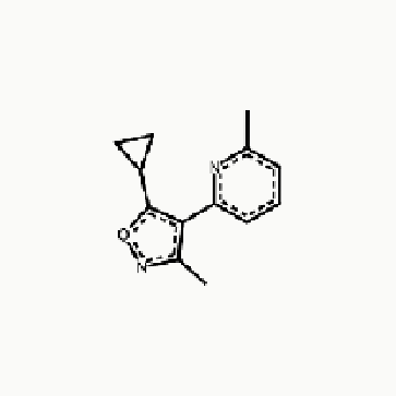 Cc1cccc(-c2c(C)noc2C2CC2)n1